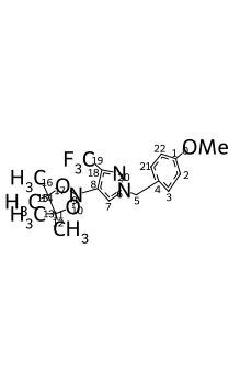 COc1ccc(Cn2cc(N3OC(C)(C)C(C)(C)O3)c(C(F)(F)F)n2)cc1